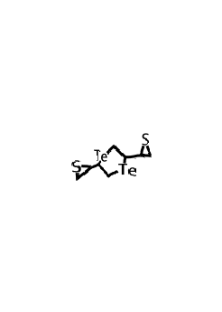 C1SC1C1C[Te]C(C2CS2)C[Te]1